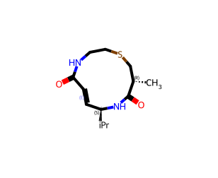 CC(C)[C@H]1/C=C/C(=O)NCCSC[C@H](C)C(=O)N1